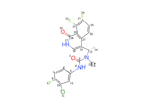 CCN(C(=O)Nc1ccc(F)c(Cl)c1)[C@@H](C)c1c[nH]c(=O)c2c(F)c(F)ccc12